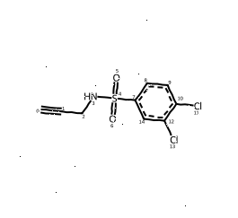 C#CCNS(=O)(=O)c1ccc(Cl)c(Cl)c1